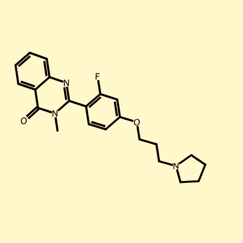 Cn1c(-c2ccc(OCCCN3CCCC3)cc2F)nc2ccccc2c1=O